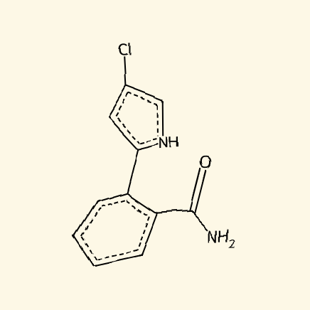 NC(=O)c1ccccc1-c1cc(Cl)c[nH]1